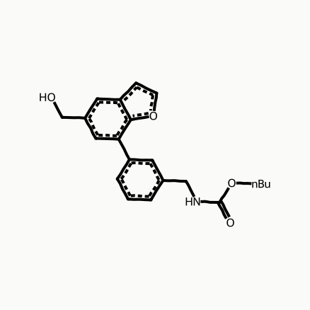 CCCCOC(=O)NCc1cccc(-c2cc(CO)cc3ccoc23)c1